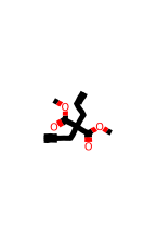 C#CCC(CC=C)(C(=O)OC)C(=O)OC